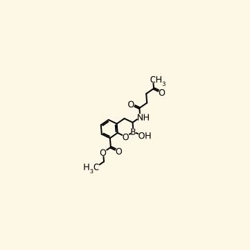 CCOC(=O)c1cccc2c1OB(O)C(NC(=O)CCC(C)=O)C2